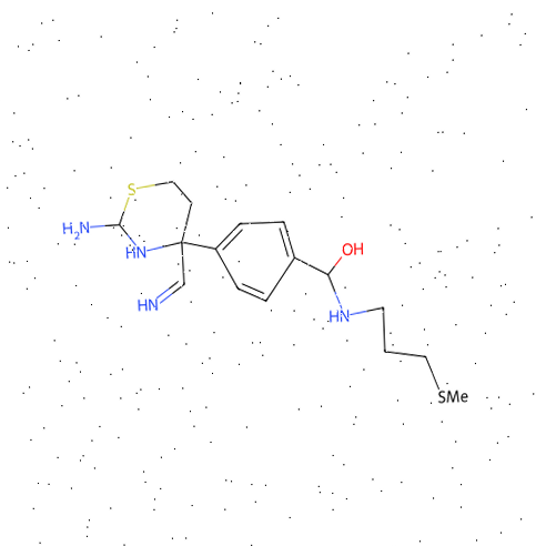 CSCCCNC(O)c1ccc(C2(C=N)CCSC(N)N2)cc1